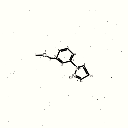 COCc1cccc(-n2cccn2)c1